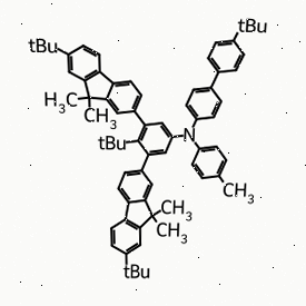 Cc1ccc(N(c2ccc(-c3ccc(C(C)(C)C)cc3)cc2)c2cc(-c3ccc4c(c3)C(C)(C)c3cc(C(C)(C)C)ccc3-4)c(C(C)(C)C)c(-c3ccc4c(c3)C(C)(C)c3cc(C(C)(C)C)ccc3-4)c2)cc1